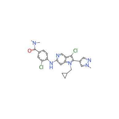 CN(C)C(=O)c1ccc(Nc2cc3c(cn2)c(Cl)c(-c2cnn(C)c2)n3CC2CC2)c(Cl)c1